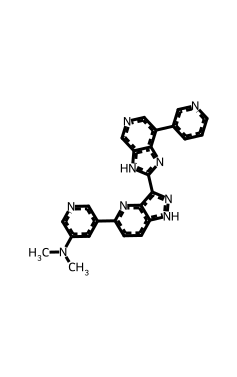 CN(C)c1cncc(-c2ccc3[nH]nc(-c4nc5c(-c6cccnc6)cncc5[nH]4)c3n2)c1